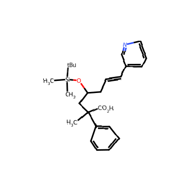 CC(CC(CC=Cc1cccnc1)O[Si](C)(C)C(C)(C)C)(C(=O)O)c1ccccc1